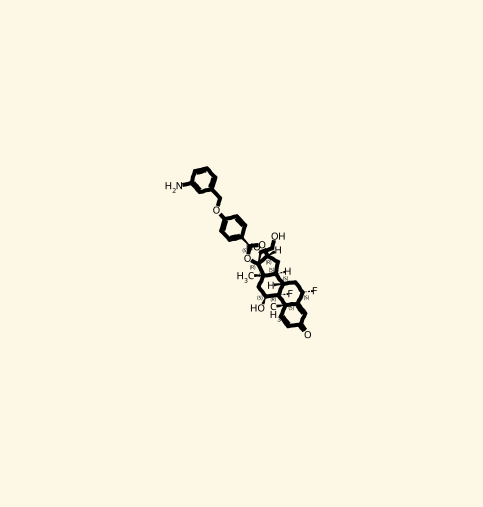 C[C@]12C=CC(=O)C=C1[C@@H](F)C[C@H]1[C@@H]3C[C@H]4O[C@H](c5ccc(OCc6cccc(N)c6)cc5)O[C@@]4(C(O)CO)[C@@]3(C)C[C@H](O)[C@@]12F